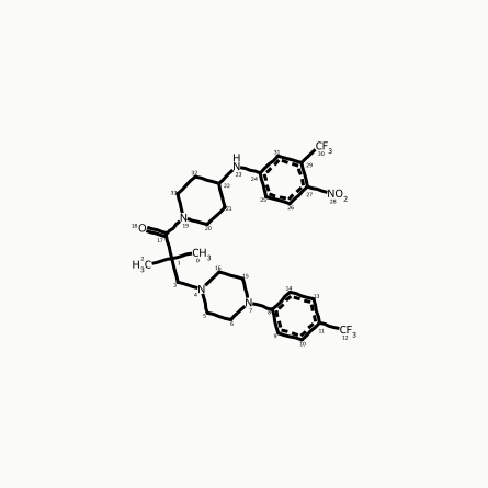 CC(C)(CN1CCN(c2ccc(C(F)(F)F)cc2)CC1)C(=O)N1CCC(Nc2ccc([N+](=O)[O-])c(C(F)(F)F)c2)CC1